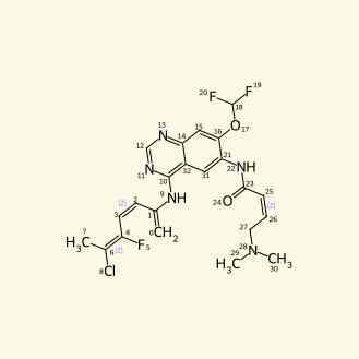 C=C(/C=C\C(F)=C(/C)Cl)Nc1ncnc2cc(OC(F)F)c(NC(=O)/C=C\CN(C)C)cc12